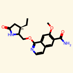 CC[C@@H]1CC(=O)NC1COc1nccc2cc(C(N)=O)c(OC)cc12